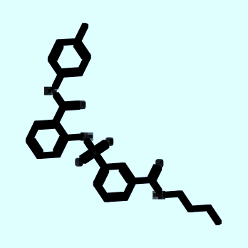 CCCCNC(=O)c1cccc(S(=O)(=O)Nc2ccccc2C(=O)Nc2ccc(C)cc2)c1